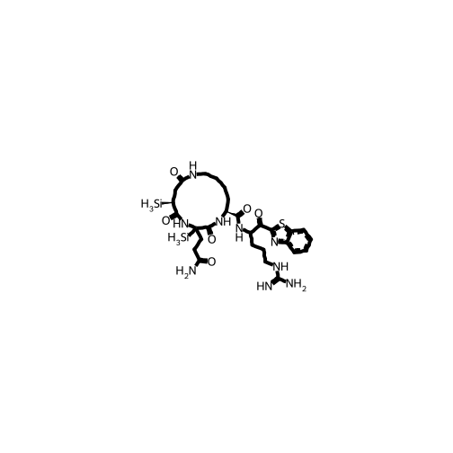 N=C(N)NCCCC(NC(=O)[C@@H]1CCCCNC(=O)C[C@H]([SiH3])C(=O)NC([SiH3])(CCC(N)=O)C(=O)N1)C(=O)c1nc2ccccc2s1